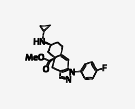 COC(=O)[C@]12Cc3cnn(-c4ccc(F)cc4)c3C=C1CC[C@H](NC1CC1)C2